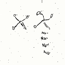 [Au+3].[Na+].[Na+].[Na+].[O-]P([O-])([O-])=S.[O-]P([O-])([O-])=S